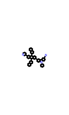 N#Cc1ccc2c(c1)c1cc(-c3ccc4c(-c5ccc6ccccc6c5)c5cc(-c6cccnc6)ccc5c(-c5ccc6ccccc6c5)c4c3)ccc1n2-c1ccccc1